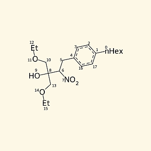 CCCCCCc1ccc(CC([N+](=O)[O-])C(O)(COCC)COCC)cc1